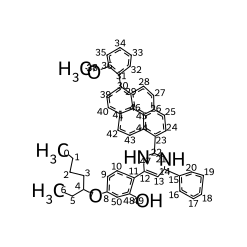 CCCCC(CC)Oc1ccc(C2=CC(c3ccccc3)NC(c3ccc4ccc5c(-c6ccccc6OC)ccc6ccc3c4c65)N2)c(O)c1